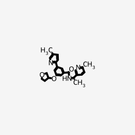 Cc1ccc(-c2cc(OC3CCOC3)cc(C(=O)N[C@H](C)c3ccc(C)nc3)c2)nc1